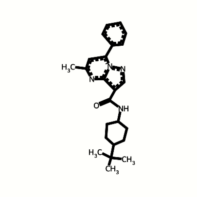 Cc1cc(-c2ccccc2)n2ncc(C(=O)NC3CCC(C(C)(C)C)CC3)c2n1